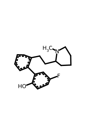 CN1CCCCC1CCc1ccccc1-c1cc(F)ccc1O